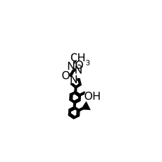 Cc1nc(C(=O)N2CCC(c3ccc(-c4ccccc4C4CC4)cc3CO)C2)no1